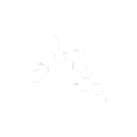 CNC(=O)c1c(-c2ccc(F)cc2)oc2cc(N(C)S(C)(=O)=O)c(-c3cc(-c4cc5ccccc5[nH]4)nc(C#N)n3)cc12